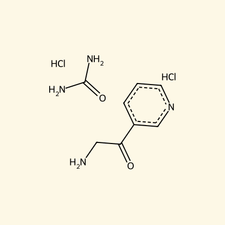 Cl.Cl.NC(N)=O.NCC(=O)c1cccnc1